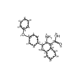 Nc1c(-c2ccc(Oc3ccccc3)cc2)nc2ccccc2c1C(=O)O